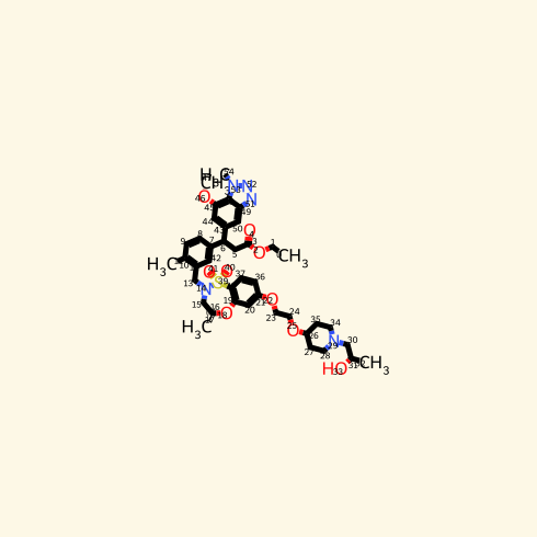 CCOC(=O)CC(c1ccc(C)c(CN2C[C@@H](C)Oc3cc(OCCOC4CCN(CC(C)O)CC4)ccc3S2(=O)=O)c1)c1cc(OC)c2c(c1)nnn2C